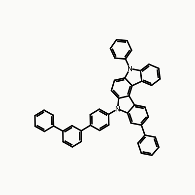 c1ccc(-c2cccc(-c3ccc(-n4c5cc(-c6ccccc6)ccc5c5c6c7ccccc7n(-c7ccccc7)c6ccc54)cc3)c2)cc1